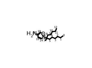 CCCCCCC(C)(CCCCC)N1C=CC(N)=CO1